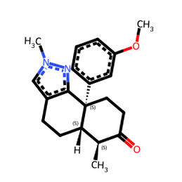 COc1cccc([C@]23CCC(=O)[C@@H](C)[C@@H]2CCc2cn(C)nc23)c1